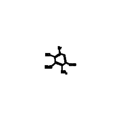 COc1c(O)c(Br)cc(C=O)c1[N+](=O)[O-]